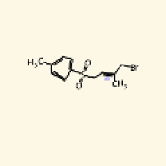 C/C(=C\CS(=O)(=O)c1ccc(C)cc1)CBr